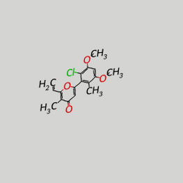 C=Cc1oc(-c2c(C)c(OC)cc(OC)c2Cl)cc(=O)c1C